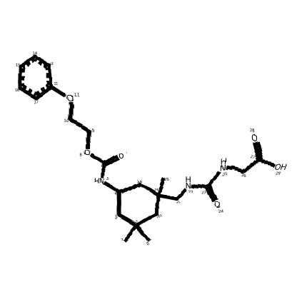 CC1(C)CC(NC(=O)OCCOc2ccccc2)CC(C)(CNC(=O)NCC(=O)O)C1